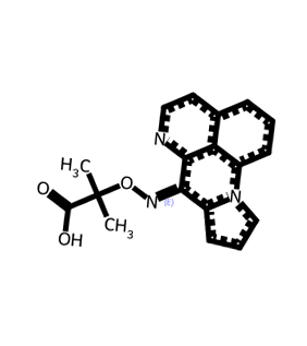 CC(C)(O/N=c1\c2nccc3cccc(c32)n2cccc12)C(=O)O